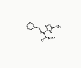 CNC(=O)N(N=Cc1ccccc1)c1nnc(C(C)(C)C)s1